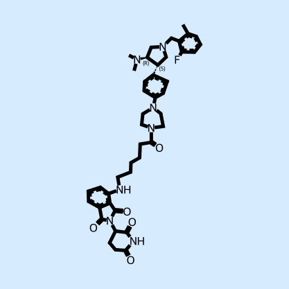 Cc1cccc(F)c1CN1C[C@H](c2ccc(N3CCN(C(=O)CCCCCNc4cccc5c4C(=O)N(C4CCC(=O)NC4=O)C5=O)CC3)cc2)[C@@H](N(C)C)C1